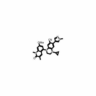 COc1cc(N2CCN(C3CC3)c3cc(-c4cnn(C)c4)c(C#N)cc32)c2cc(C)c(=O)n(C)c2c1